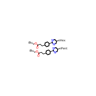 CCCCCCc1cnc(-c2ccc(CCC(=O)OC[C@H](C)CC)cc2)nc1.CCCCCc1cnc(-c2ccc(CCC(=O)OC[C@H](C)CC)cc2)nc1